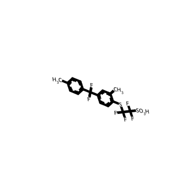 Cc1ccc(C(F)(F)c2ccc(SC(F)(F)C(F)(F)S(=O)(=O)O)c(C)c2)cc1